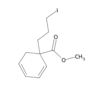 COC(=O)C1(CCCI)C=CC=CC1